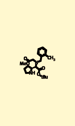 COC(=O)CN(Cc1ccccc1C)C(C(=O)OC(C)(C)C)[C@@H]1CCCN1